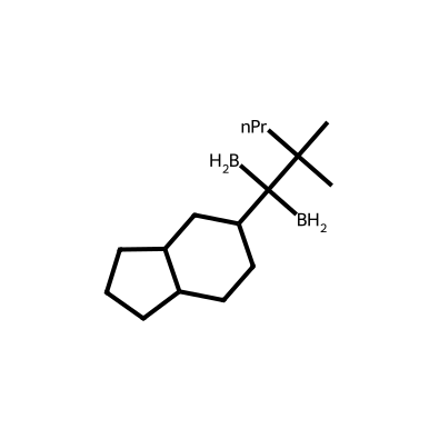 BC(B)(C1CCC2CCCC2C1)C(C)(C)CCC